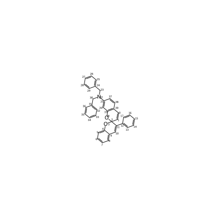 C1=CC2(Oc3ccccc3C=C2c2ccccc2)Oc2cc(N(Cc3ccccc3)Cc3ccccc3)ccc21